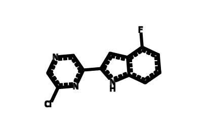 Fc1cccc2[nH]c(-c3cncc(Cl)n3)cc12